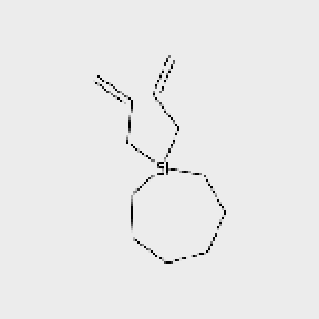 C=CC[Si]1(CC=C)CCCCCC1